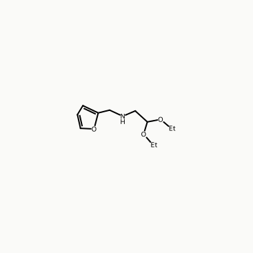 CCOC(CNCc1ccco1)OCC